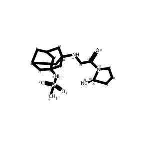 CS(=O)(=O)NC12CC3CC(CC(NCC(=O)N4CCC[C@H]4C#N)(C3)C1)C2